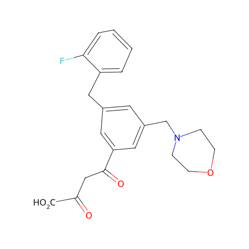 O=C(O)C(=O)CC(=O)c1cc(Cc2ccccc2F)cc(CN2CCOCC2)c1